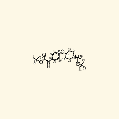 CC(C)(C)OC(=O)Nc1ccc(OC2CCN(C(=O)OC(C)(C)C)CC2)cc1